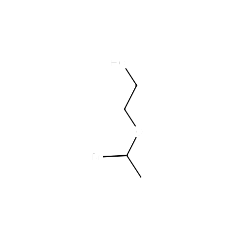 [CH2]C(Br)OCCO